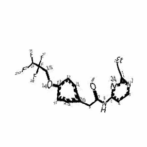 CCc1nccc(NC(=O)Cc2ccc(OCC(F)(F)C(F)F)cc2)n1